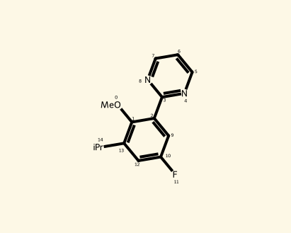 COc1c(-c2ncccn2)cc(F)cc1C(C)C